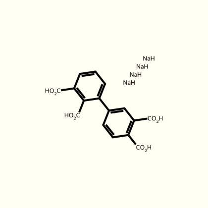 O=C(O)c1ccc(-c2cccc(C(=O)O)c2C(=O)O)cc1C(=O)O.[NaH].[NaH].[NaH].[NaH]